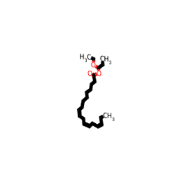 CC/C=C\C/C=C\C/C=C\CCCCCCCC(=O)OC(CC)OCC